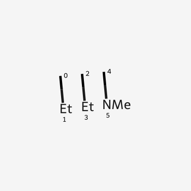 CCC.CCC.CNC